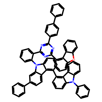 c1ccc(-c2ccc(-c3nc(-c4ccccc4-n4c5cc(-c6ccccc6)ccc5c5c(-c6cccc7c6c6ccccc6n7-c6ccccc6)cccc54)nc(-c4cccc5oc6ccccc6c45)n3)cc2)cc1